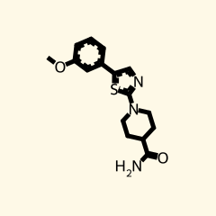 COc1cccc(-c2cnc(N3CCC(C(N)=O)CC3)s2)c1